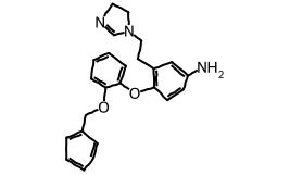 Nc1ccc(Oc2ccccc2OCc2ccccc2)c(CCN2C=NCC2)c1